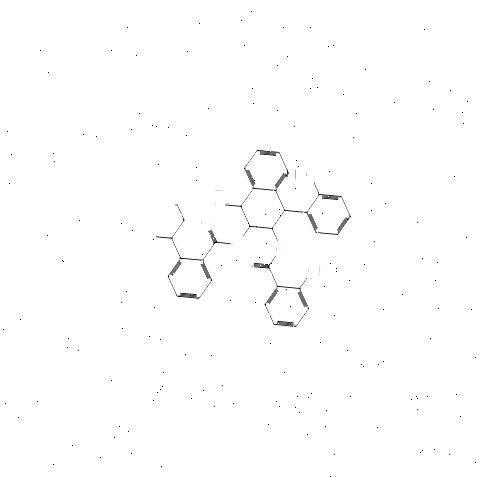 Cc1ccccc1C(=O)OC1C(c2ccccc2C)c2ccccc2C(C)C1OC(=O)c1ccccc1C(C)CI